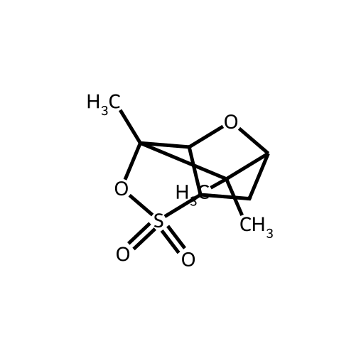 CC1(C)C2CC3C(O2)C1(C)OS3(=O)=O